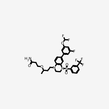 CC(CCN1CCN(S(=O)(=O)c2cccc(C(F)(F)F)c2)c2cc(-c3cc(F)cc(OC(F)F)c3)ccc21)OCCC(N)=O